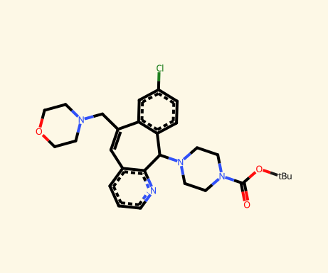 CC(C)(C)OC(=O)N1CCN(C2c3ccc(Cl)cc3C(CN3CCOCC3)=Cc3cccnc32)CC1